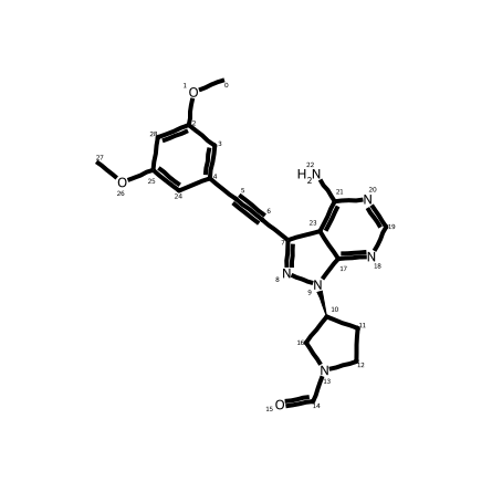 COc1cc(C#Cc2nn([C@H]3CCN(C=O)C3)c3ncnc(N)c23)cc(OC)c1